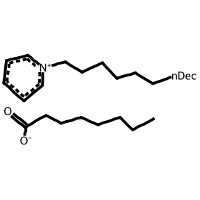 CCCCCCCC(=O)[O-].CCCCCCCCCCCCCCCC[n+]1ccccc1